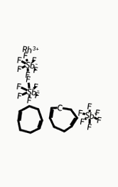 C1=CCCC=CCC1.C1=CCCC=CCC1.[F][Sb-]([F])([F])([F])([F])[F].[F][Sb-]([F])([F])([F])([F])[F].[F][Sb-]([F])([F])([F])([F])[F].[Rh+3]